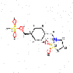 CS(=O)(=O)OC[C@H]1CC[C@H](CN2CCCS2(=O)=O)CC1